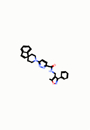 Cc1onc(-c2ccccc2)c1CNC(=O)c1ccc(N2CCC3(C=Cc4ccccc43)CC2)nn1